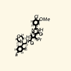 COc1cc(-c2nn3cc(C(=O)NCC(c4ccc(F)cc4F)N4CCOCC4)c(C(C)C)c3c(=O)[nH]2)ccc1Cl